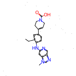 CCc1cc(C2=CCN(C(=O)O)CC2)ccc1Nc1cc2c(cn1)ncn2C